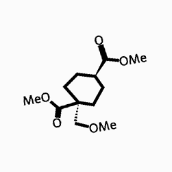 COC[C@]1(C(=O)OC)CC[C@@H](C(=O)OC)CC1